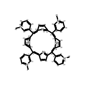 C[n+]1cccc(-c2c3nc(c(-c4ccc[n+](C)c4)c4ccc([nH]4)c(-c4ccc[n+](C)c4)c4nc(c(-c5ccc[n+](C)c5)c5ccc2[nH]5)C=C4)C=C3)c1